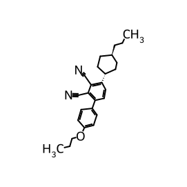 CCCOc1ccc(-c2ccc([C@H]3CC[C@H](CCC)CC3)c(C#N)c2C#N)cc1